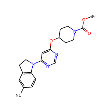 CC(C)OC(=O)N1CCC(Oc2cc(N3CCc4cc(C#N)ccc43)ncn2)CC1